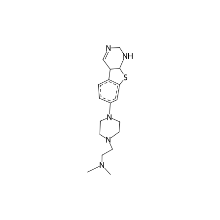 CN(C)CCN1CCN(c2ccc3c(c2)SC2NCN=CC32)CC1